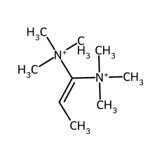 CC=C([N+](C)(C)C)[N+](C)(C)C